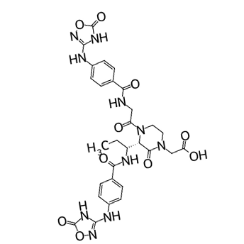 CCC(NC(=O)c1ccc(Nc2noc(=O)[nH]2)cc1)[C@H]1C(=O)N(CC(=O)O)CCN1C(=O)CNC(=O)c1ccc(Nc2noc(=O)[nH]2)cc1